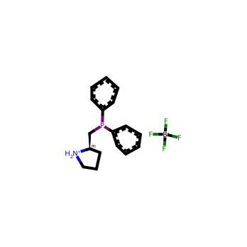 F[B-](F)(F)F.c1ccc(P(C[C@H]2CCC[NH2+]2)c2ccccc2)cc1